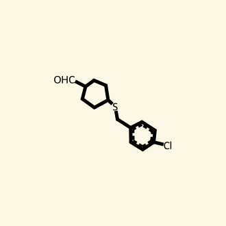 O=CC1CCC(SCc2ccc(Cl)cc2)CC1